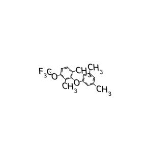 Cc1cc(C)cc(Oc2c(C)ccc(OC(F)(F)F)c2C)c1